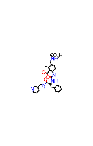 Cc1c(CNC(=O)O)ccc2nc(N[C@@H](Cc3ccccc3)C(=O)N(C)Cc3cccnc3)oc(=O)c12